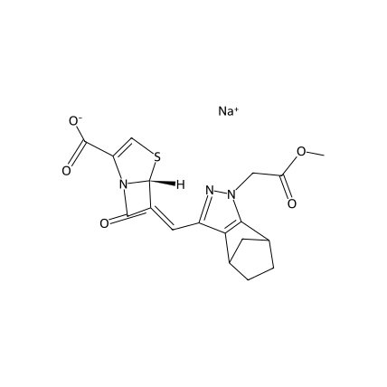 COC(=O)Cn1nc(/C=C2/C(=O)N3C(C(=O)[O-])=CS[C@H]23)c2c1C1CCC2C1.[Na+]